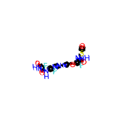 O=C1CCC(Nc2cc(F)c(N3CCN(CCN4CCC(COc5cc(F)c6c(=O)[nH]c(CSC7CCOCC7)nc6c5)CC4)CC3)cc2F)C(=O)N1